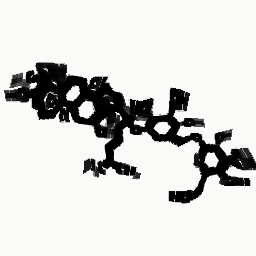 CC(C)=CCCC(C)(O[C@@H]1C[C@H](CO[C@@H]2O[C@H](CO)[C@@H](O)[C@H](O)[C@H]2O)[C@@H](O)[C@H](O)[C@H]1O)C1CC[C@]2(C)[C@@H]1[C@H](O)C[C@@H]1[C@@]3(C)CC[C@H](O)C(C)(C)[C@@H]3CC[C@]12C